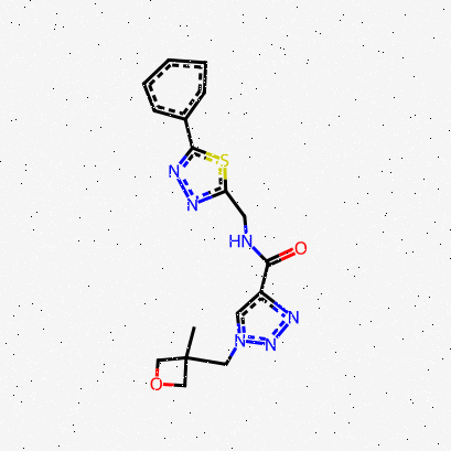 CC1(Cn2cc(C(=O)NCc3nnc(-c4ccccc4)s3)nn2)COC1